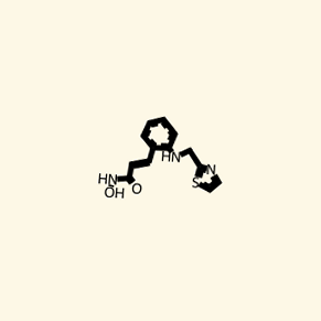 O=C(C=Cc1ccccc1NCc1nccs1)NO